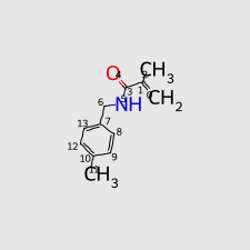 C=C(C)C(=O)NCc1ccc(C)cc1